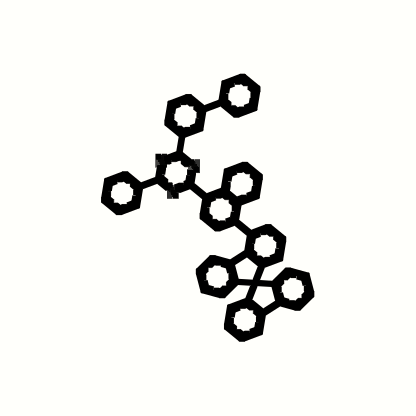 c1ccc(-c2cccc(-c3nc(-c4ccccc4)nc(-c4ccc(-c5cccc6c5-c5ccccc5C65c6ccccc6-c6ccccc65)c5ccccc45)n3)c2)cc1